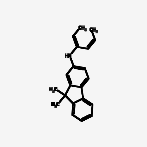 C/C=C\C(=C/C)Nc1ccc2c(c1)C(C)(C)c1ccccc1-2